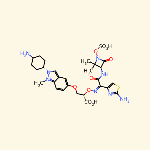 C[n+]1c2ccc(OC[C@H](O/N=C(\C(=O)N[C@@H]3C(=O)N(OS(=O)(=O)O)C3(C)C)c3csc(N)n3)C(=O)O)cc2cn1[C@H]1CC[C@H](N)CC1